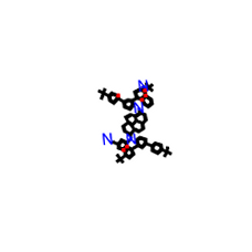 CC(C)(C)c1ccc(-c2ccc(N(C3=C4C=CC5=C6C(=CC=C(C=C3)C46)C(N(c3cccc(C#N)c3)c3ccc(-c4ccc(C(C)(C)C)cc4)cc3-c3ccc(C(C)(C)C)cc3)C=C5)c3cccc(C#N)c3)c(-c3ccc(C(C)(C)C)cc3)c2)cc1